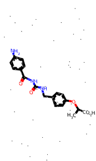 CC(Oc1ccc(CNC(=O)NC(=O)c2ccc(N)cc2)cc1)C(=O)O